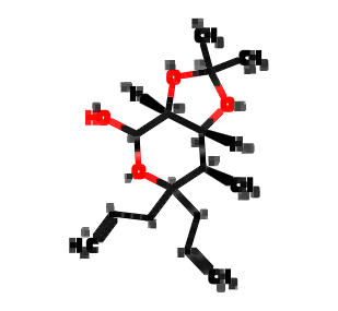 C=CCC1(CC=C)OC(O)[C@@H]2OC(C)(C)O[C@@H]2[C@H]1C